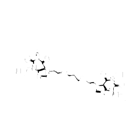 Cn1c(=O)c2c(ncn2CCOCCCOCCn2cnc3c2c(=O)n(C)c(=O)n3C)n(C)c1=O